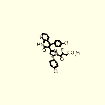 O=C(O)CC(F)C(=O)N1N=C(c2c(-c3ccc(Cl)cc3)c3cccnc3[nH]c2=O)C[C@@H]1c1ccc(Cl)cc1